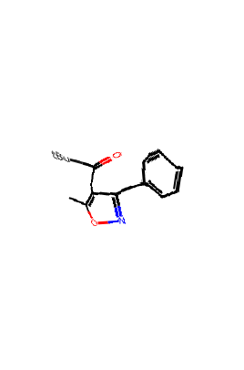 Cc1onc(-c2ccccc2)c1C(=O)C(C)(C)C